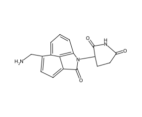 NCc1ccc2c3c(cccc13)N(C1CCC(=O)NC1=O)C2=O